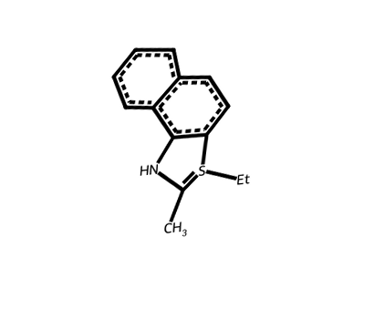 CCS1=C(C)Nc2c1ccc1ccccc21